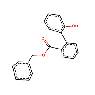 O=C(OCc1ccccc1)c1ccccc1-c1ccccc1O